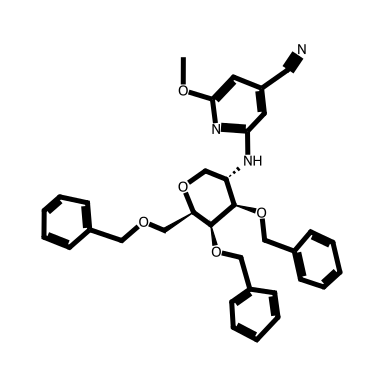 COc1cc(C#N)cc(N[C@H]2CO[C@H](COCc3ccccc3)[C@H](OCc3ccccc3)[C@@H]2OCc2ccccc2)n1